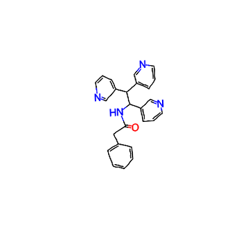 O=C(Cc1ccccc1)NC(c1cccnc1)C(c1cccnc1)c1cccnc1